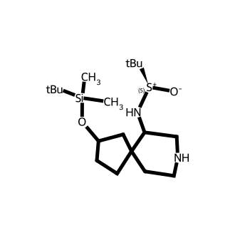 CC(C)(C)[S@@+]([O-])NC1CNCCC12CCC(O[Si](C)(C)C(C)(C)C)C2